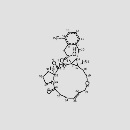 O=C1N[C@]2(P(=O)(O)Cc3c(F)cccc3F)C[C@H]2CCOC/C=C/CCC(=O)N2CCC[C@@H]12